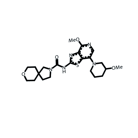 COc1ncc(N2CCCC(OC)C2)c2sc(NC(=O)N3CCC4(CCOCC4)C3)nc12